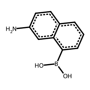 Nc1ccc2cccc(B(O)O)c2c1